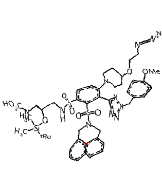 COc1ccc(Cn2nnc(-c3c(N4CCC(OCCN=[N+]=[N-])CC4)ccc(S(=O)(=O)NCC(CNC(=O)O)O[Si](C)(C)C(C)(C)C)c3S(=O)(=O)N(Cc3ccccc3)Cc3ccccc3)n2)cc1